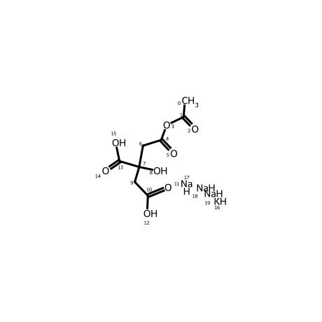 CC(=O)OC(=O)CC(O)(CC(=O)O)C(=O)O.[KH].[NaH].[NaH].[NaH]